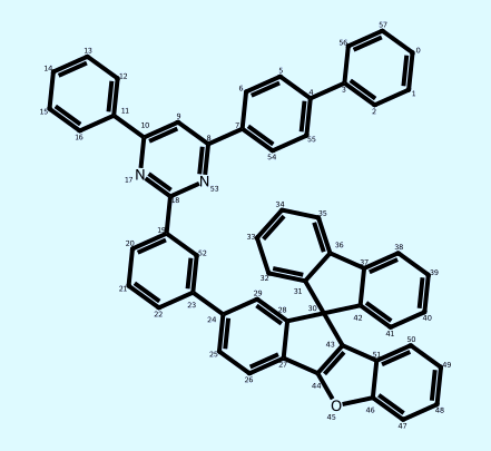 c1ccc(-c2ccc(-c3cc(-c4ccccc4)nc(-c4cccc(-c5ccc6c(c5)C5(c7ccccc7-c7ccccc75)c5c-6oc6ccccc56)c4)n3)cc2)cc1